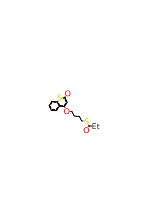 CCC(=O)SCCCCOc1cc(=O)sc2ccccc12